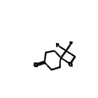 O=C1CCC2(CC1)OCC2(F)F